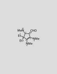 CCC1(CC)C(NC)=C(NC)C(C=O)C1NC